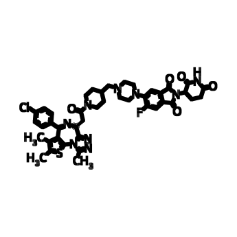 Cc1sc2c(c1C)C(c1ccc(Cl)cc1)=N[C@@H](CC(=O)N1CCC(CN3CCN(c4cc5c(cc4F)C(=O)N(C4CCC(=O)NC4=O)C5=O)CC3)CC1)c1nnc(C)n1-2